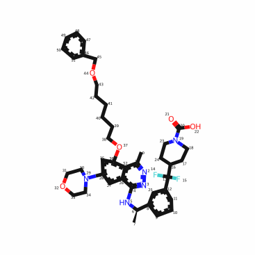 Cc1nnc(N[C@H](C)c2cccc(C(F)(F)C3CCN(C(=O)O)CC3)c2)c2cc(N3CCOCC3)cc(OCCCCCCOCc3ccccc3)c12